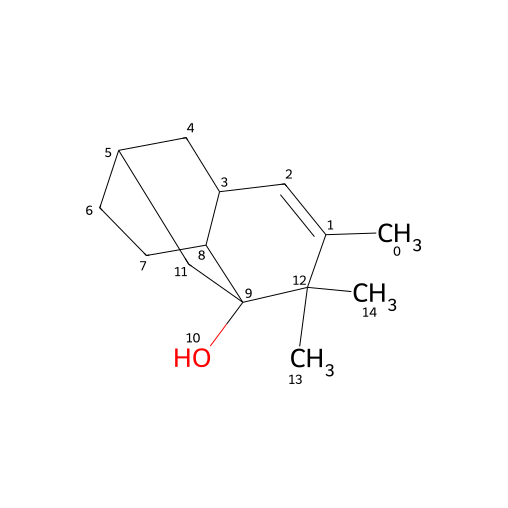 CC1=CC2CC3CCC2C(O)(C3)C1(C)C